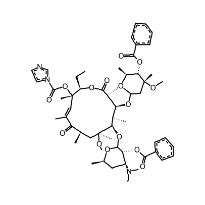 CC[C@H]1OC(=O)[C@H](C)[C@@H](OC2C[C@@](C)(OC)[C@@H](OC(=O)c3ccccc3)[C@H](C)O2)[C@H](C)[C@@H](OC2O[C@H](C)C[C@H](N(C)C)[C@H]2OC(=O)c2ccccc2)[C@@](C)(OC)C[C@@H](C)C(=O)/C(C)=C/[C@]1(C)OC(=O)n1ccnc1